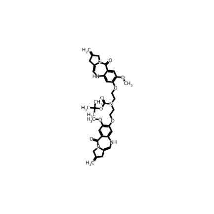 C=C1CC2=CNc3cc(OCCN(CCOc4cc5c(cc4OC)C(=O)N4CC(=C)CC4=CN5)C(=O)OC(C)(C)C)c(OC)cc3C(=O)N2C1